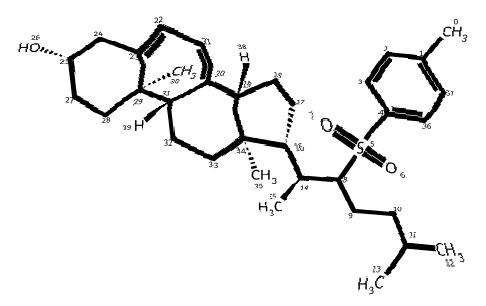 Cc1ccc(S(=O)(=O)C(CCC(C)C)[C@@H](C)[C@H]2CC[C@H]3C4=CC=C5C[C@@H](O)CC[C@]5(C)[C@H]4CC[C@]23C)cc1